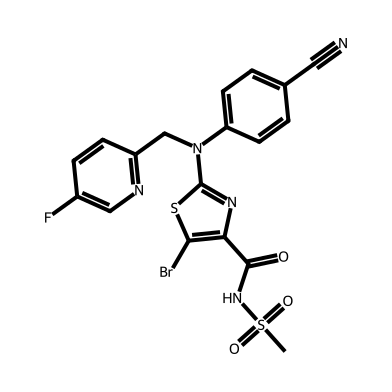 CS(=O)(=O)NC(=O)c1nc(N(Cc2ccc(F)cn2)c2ccc(C#N)cc2)sc1Br